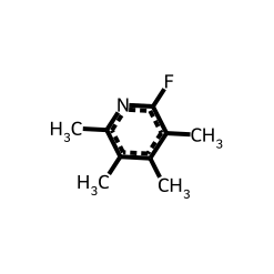 Cc1nc(F)c(C)c(C)c1C